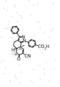 C[C@H]1C(=O)C(C#N)=C[C@@]2(C)c3c(c(-c4ccccc4)nn3-c3ccc(C(=O)O)cc3)CC[C@H]12